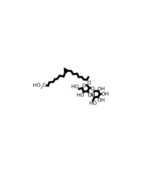 CC(CCCCCCC1CC1CCCCCCCC(=O)O)OC1OC(CO)C(O)C(O)C1OC1OC(CO)C(O)C(O)C1O